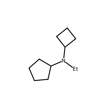 CCN(C1C[CH]C1)C1CCCC1